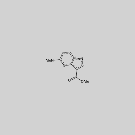 CNc1ccn2ncc(C(=O)OC)c2n1